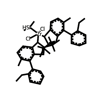 CCc1ccccc1-c1c(C)ccc2c1C=C(C(C)(C)C)[CH]2[Zr]([Cl])([Cl])([CH]1C(C(C)(C)C)=Cc2c1ccc(C)c2-c1ccccc1CC)[SiH](C)C